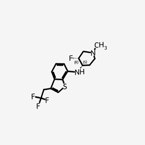 CN1CC[C@H](Nc2cccc3c(CC(F)(F)F)csc23)[C@H](F)C1